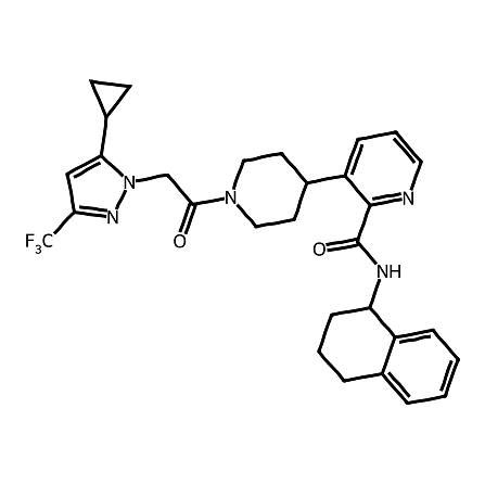 O=C(NC1CCCc2ccccc21)c1ncccc1C1CCN(C(=O)Cn2nc(C(F)(F)F)cc2C2CC2)CC1